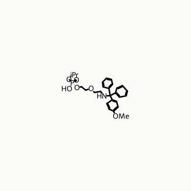 COc1ccc(C(NCCOCCOP(=O)(O)OC(C)C)(c2ccccc2)c2ccccc2)cc1